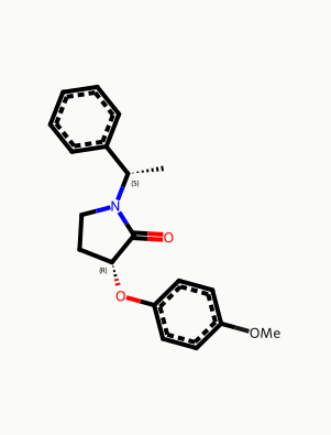 COc1ccc(O[C@@H]2CCN([C@@H](C)c3ccccc3)C2=O)cc1